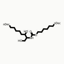 CCCCCCCCCCCCCCCCOC(=O)NC(CO)C(O)CCCCCCCCCCCCCCC